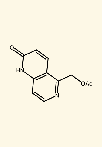 CC(=O)OCc1nccc2[nH]c(=O)ccc12